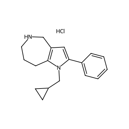 Cl.c1ccc(-c2cc3c(n2CC2CC2)CCCNC3)cc1